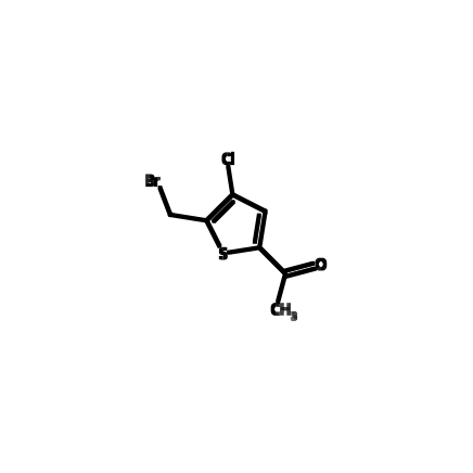 CC(=O)c1cc(Cl)c(CBr)s1